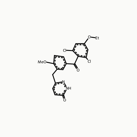 CCOc1cc(Cl)c(C(=O)c2ccc(OC)c(Cc3ccc(=O)[nH]n3)c2)c(Cl)c1